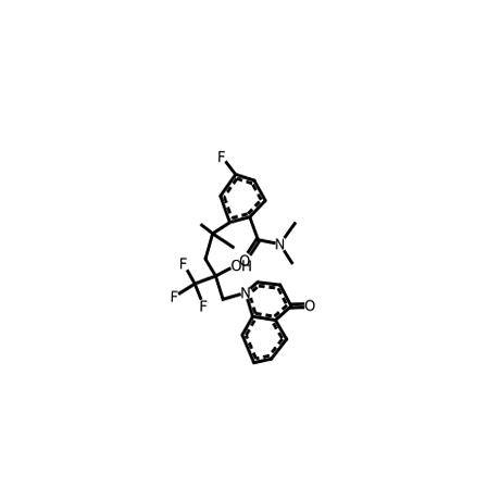 CN(C)C(=O)c1ccc(F)cc1C(C)(C)CC(O)(Cn1ccc(=O)c2ccccc21)C(F)(F)F